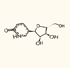 O=c1ccc([C@H]2O[C@H](CO)[C@@H](O)[C@H]2O)c[nH]1